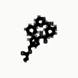 C=CC(=O)OCC12CCC(NC(=O)c3ccc(C)c(Nc4nccc(-c5cccnc5)n4)c3)(CC1)CC2